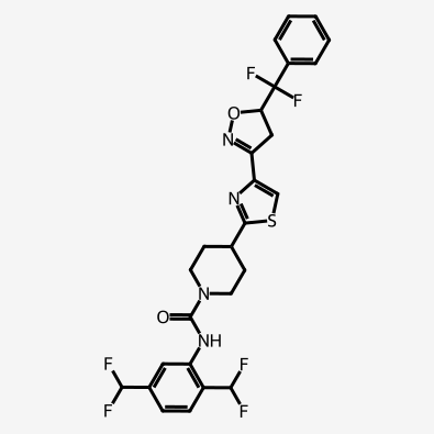 O=C(Nc1cc(C(F)F)ccc1C(F)F)N1CCC(c2nc(C3=NOC(C(F)(F)c4ccccc4)C3)cs2)CC1